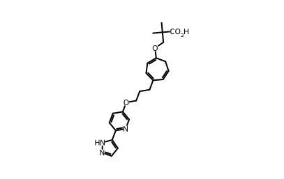 CC(C)(COC1=CC=C(CCCOc2ccc(-c3ccn[nH]3)nc2)C=CC1)C(=O)O